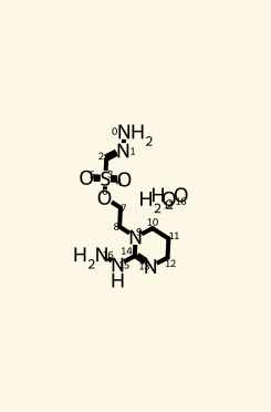 NN=CS(=O)(=O)OCCN1CCCN=C1NN.O.O